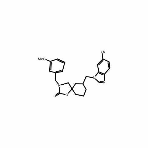 COc1cccc(CN2CC3(CCCC(Cn4cnc5ccc(C#N)cc54)C3)OC2=O)c1